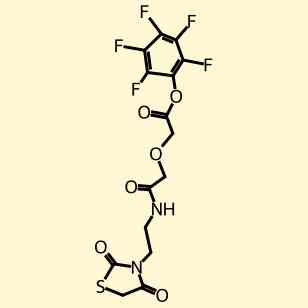 O=C(COCC(=O)Oc1c(F)c(F)c(F)c(F)c1F)NCCN1C(=O)CSC1=O